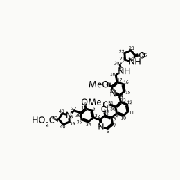 COc1cc(-c2nccc(-c3cccc(-c4ccc(CNC[C@@H]5CCC(=O)N5)c(OC)n4)c3Cl)c2Cl)ccc1CN1CC[C@H](C(=O)O)C1